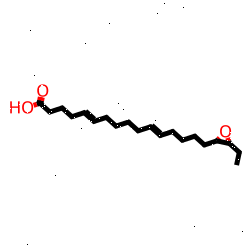 CCC1OC1CCCCC=CCCCCC=CCCCC(=O)O